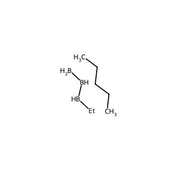 BBBCC.CCCCC